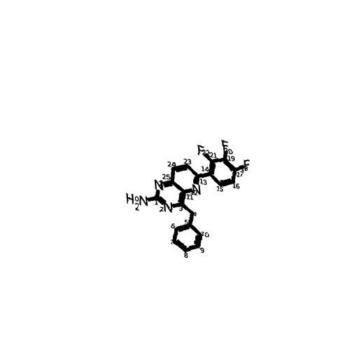 Nc1nc(Cc2ccccc2)c2nc(-c3ccc(F)c(F)c3F)ccc2n1